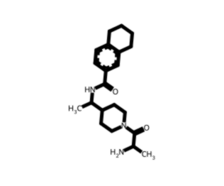 CC(N)C(=O)N1CCC(C(C)NC(=O)c2ccc3c(c2)CCCC3)CC1